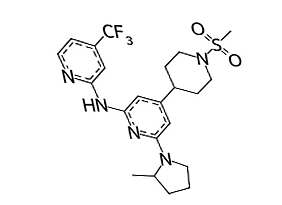 CC1CCCN1c1cc(C2CCN(S(C)(=O)=O)CC2)cc(Nc2cc(C(F)(F)F)ccn2)n1